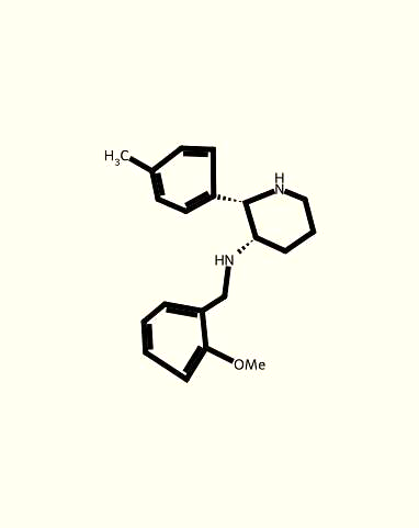 COc1ccccc1CN[C@H]1CCCN[C@H]1c1ccc(C)cc1